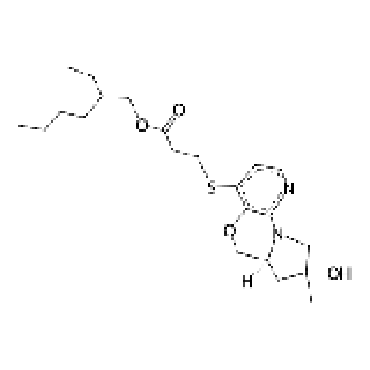 CCCCC(CC)COC(=O)CCSc1ccnc2c1OC[C@@H]1CC(C)(O)CN21